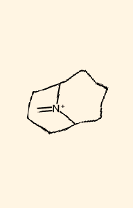 C=[N+]1C2CCCC1CCC2